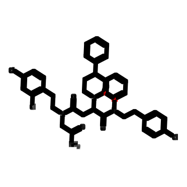 NC(=O)CN(CCc1ccc(Cl)cc1Cl)C(=O)CC1C(=O)N(CCc2ccc(Cl)cc2)CC(=O)N1CCC(c1ccccc1)c1ccccc1